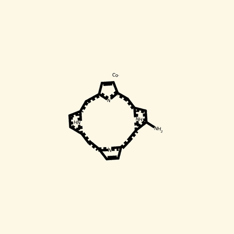 Nc1cc2cc3nc(cc4ccc(cc5nc(cc1[nH]2)C=C5)[nH]4)C=C3.[Co]